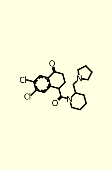 O=C1CCC(C(=O)N2CCCCC2CN2CCCC2)c2cc(Cl)c(Cl)cc21